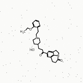 CCOc1ccccc1CCN1CCC(CCC(=O)c2cc3c4c(c2)CCN4C(=O)CC3)CC1.Cl